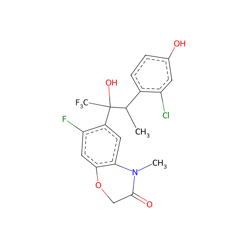 CC(c1ccc(O)cc1Cl)C(O)(c1cc2c(cc1F)OCC(=O)N2C)C(F)(F)F